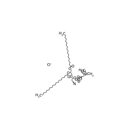 CCCCCCCCCCCCCCCCCC(=O)OCC(COC(CC#N)OOP(=O)(O)OCC[N+](CC)(CC)CC)OC(=O)CCCCCCCCCCCCCCCCC.[Cl-]